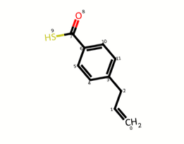 C=CCc1ccc(C(=O)S)cc1